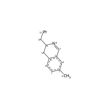 Cc1ccc2c(c1)C=NC(CC(C)C)C2